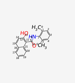 Cc1cccc(C)c1NC(=O)c1c(O)ccc2ccccc12